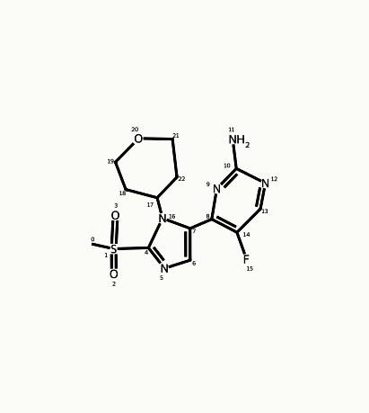 CS(=O)(=O)c1ncc(-c2nc(N)ncc2F)n1C1CCOCC1